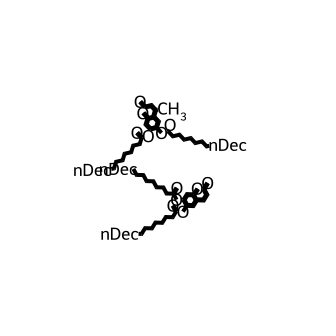 CCCCCCCCCCCCCCCCCC(=O)Oc1cc2ccc(=O)oc2cc1OC(=O)CCCCCCCCCCCCCCCCC.CCCCCCCCCCCCCCCCCC(=O)Oc1cc2oc(=O)cc(C)c2cc1OC(=O)CCCCCCCCCCCCCCCCC